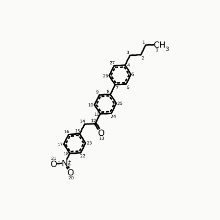 CCCCc1ccc(-c2ccc(C(=O)Cc3ccc([N+](=O)[O-])cc3)cc2)cc1